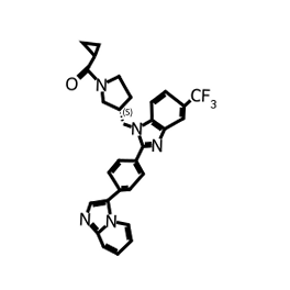 O=C(C1CC1)N1CC[C@H](Cn2c(-c3ccc(-c4cnc5ccccn45)cc3)nc3cc(C(F)(F)F)ccc32)C1